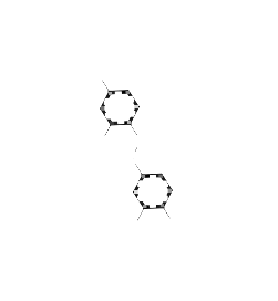 CCc1cc(NNc2ccc(N)cc2C)ccc1NC